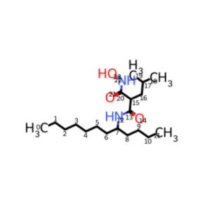 CCCCCCCC(CCCC)NC(=O)C(CC(C)C)C(=O)NO